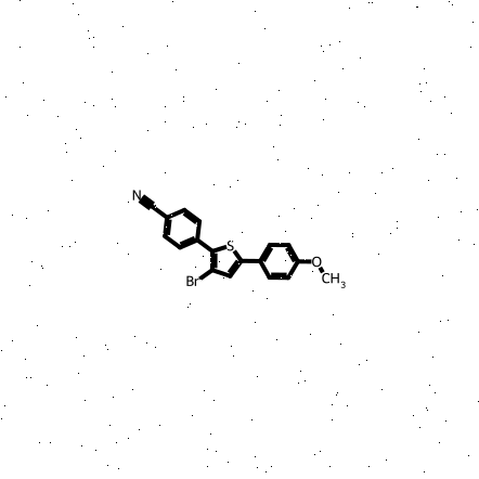 COc1ccc(-c2cc(Br)c(-c3ccc(C#N)cc3)s2)cc1